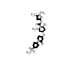 CC[C@@H]1C[C@H](Oc2ccn(-c3ccc(S(C)(=O)=O)cc3)c(=O)c2)C[C@@H](C)N1C(=O)Oc1cc(C(F)(F)F)n(C)n1